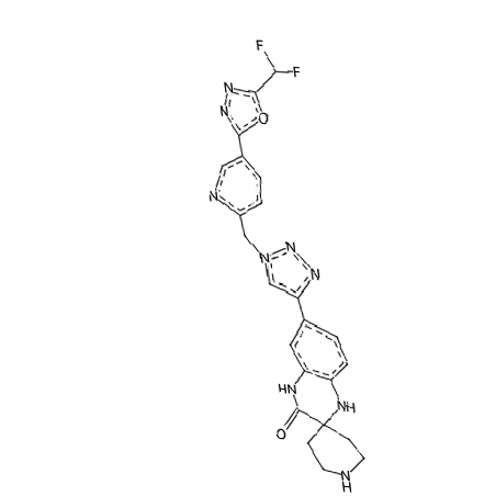 O=C1Nc2cc(-c3cn(Cc4ccc(-c5nnc(C(F)F)o5)cn4)nn3)ccc2NC12CCNCC2